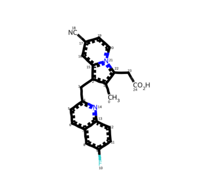 Cc1c(Cc2ccc3cc(F)ccc3n2)c2cc(C#N)ccn2c1CC(=O)O